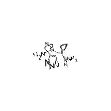 NNC(=O)CN1ON=CC1(N)c1conn1